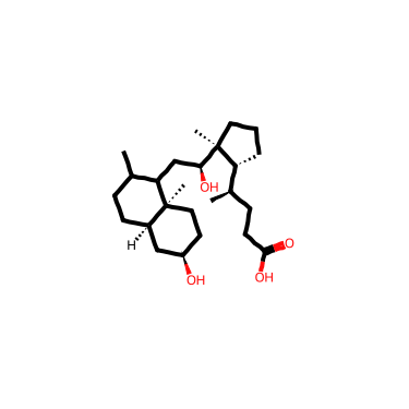 CC1CC[C@@H]2C[C@H](O)CC[C@]2(C)C1C[C@H](O)[C@@]1(C)CCC[C@@H]1[C@H](C)CCC(=O)O